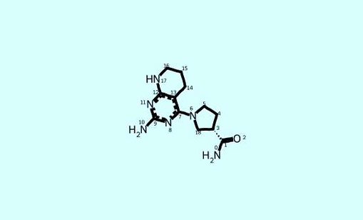 NC(=O)[C@H]1CCN(c2nc(N)nc3c2CCCN3)C1